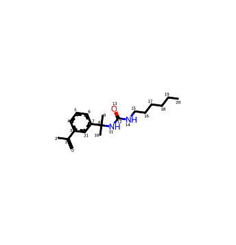 C=C(C)c1cccc(C(C)(C)NC(=O)NCCCCCC)c1